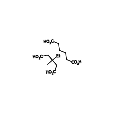 CCC(C)(CC(=O)O)CC(=O)O.O=C(O)CCCCC(=O)O